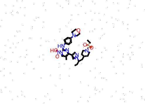 CCC(CC1CCN(S(=O)(=O)CC)CC1)n1cc(-c2nc(Nc3ccc(N4CCOCC4)cc3)ncc2C)cn1.O=NO